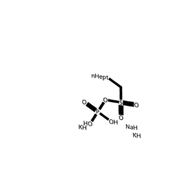 CCCCCCCCS(=O)(=O)OP(=O)(O)O.[KH].[KH].[NaH]